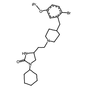 CC(C)Oc1ccc(Br)c(CC2CCN(CCC3CN(C4CCCCC4)C(=O)N3)CC2)c1